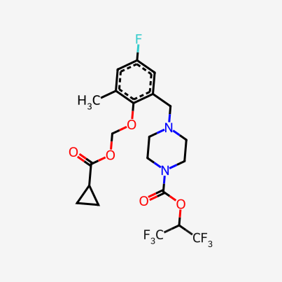 Cc1cc(F)cc(CN2CCN(C(=O)OC(C(F)(F)F)C(F)(F)F)CC2)c1OCOC(=O)C1CC1